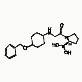 O=C(CNC1CCC(OCc2ccccc2)CC1)N1CCC[C@H]1B(O)O